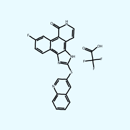 O=C(O)C(F)(F)F.O=c1[nH]ccc2c3[nH]c(Sc4cnc5ccccc5c4)nc3c3ccc(F)cc3c12